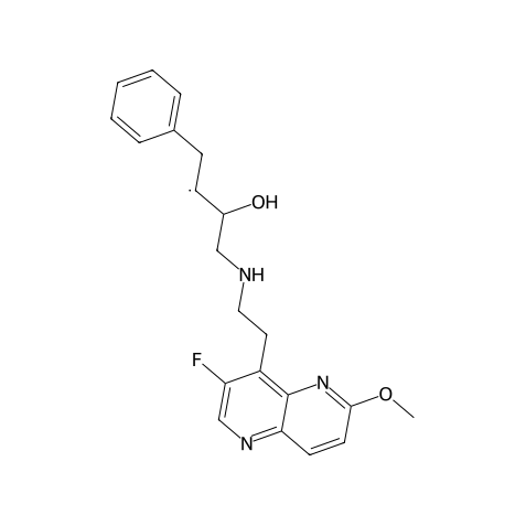 COc1ccc2ncc(F)c(CCNCC(O)[CH]Cc3ccccc3)c2n1